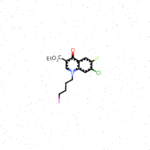 CCOC(=O)c1cn(CCCCI)c2cc(Cl)c(F)cc2c1=O